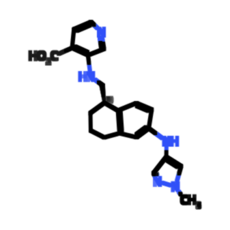 Cn1cc(Nc2ccc3c(c2)CCC[C@H]3CNc2cnccc2C(=O)O)cn1